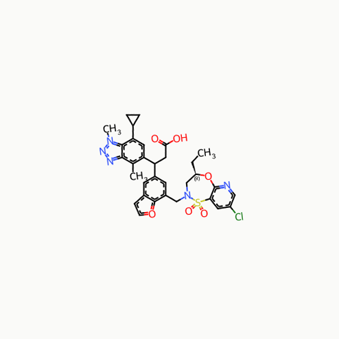 CC[C@@H]1CN(Cc2cc(C(CC(=O)O)c3cc(C4CC4)c4c(nnn4C)c3C)cc3ccoc23)S(=O)(=O)c2cc(Cl)cnc2O1